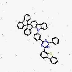 c1ccc(-c2nc(-c3cccc(-n4c5ccccc5c5ccc6c(c54)-c4ccccc4C64c5ccccc5-c5ccccc54)c3)nc(-c3cccc4c3sc3ccccc34)n2)cc1